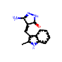 Cc1[nH]c2ccccc2c1C=C1C(=O)NN=C1N